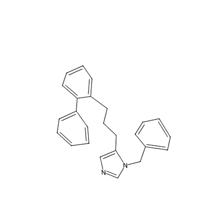 c1ccc(Cn2cncc2CCCc2ccccc2-c2ccccc2)cc1